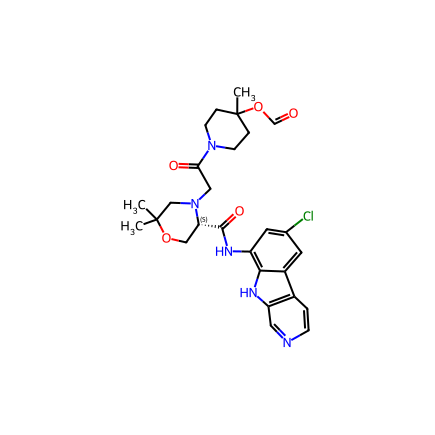 CC1(C)CN(CC(=O)N2CCC(C)(OC=O)CC2)[C@H](C(=O)Nc2cc(Cl)cc3c2[nH]c2cnccc23)CO1